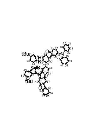 CC(C)(C)c1ccc(Nc2cc3oc4ccc(N(c5ccccc5)c5ccccc5)cc4c3cc2-c2ccc3c4cc5c(cc4n4c3c2Bc2sc3ccc(C(C)(C)C)cc3c2-4)oc2ccccc25)cc1